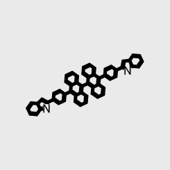 C1=CC2=NC(c3ccc(-c4c5ccccc5c(-c5c6ccccc6c(-c6ccc(C7=CC8C=CC=CC8=N7)cc6)c6ccccc56)c5ccccc45)cc3)=CC2C=C1